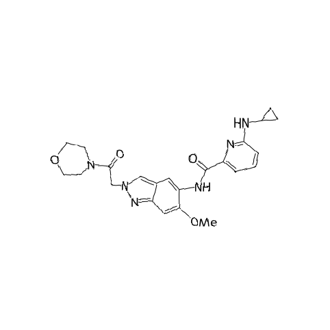 COc1cc2nn(CC(=O)N3CCOCC3)cc2cc1NC(=O)c1cccc(NC2CC2)n1